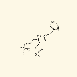 CS(=O)(=O)OCCC(COS(C)(=O)=O)NC(=O)OCc1ccccc1